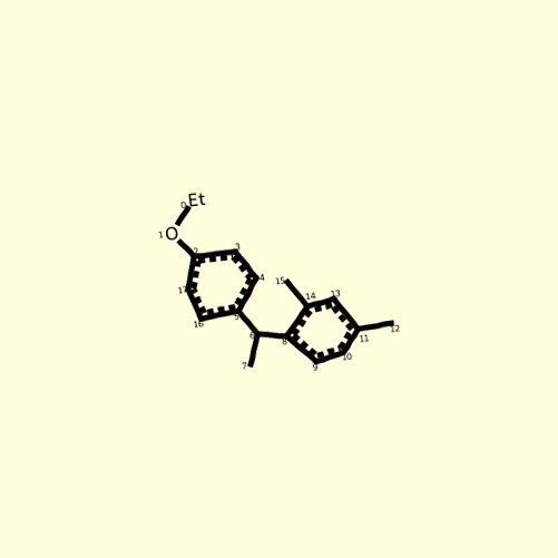 CCOc1ccc(C(C)c2ccc(C)cc2C)cc1